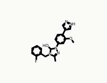 COc1cc(N2N=C(C)N(Cc3ccccc3F)C2O)ccc1-c1cn[nH]c1